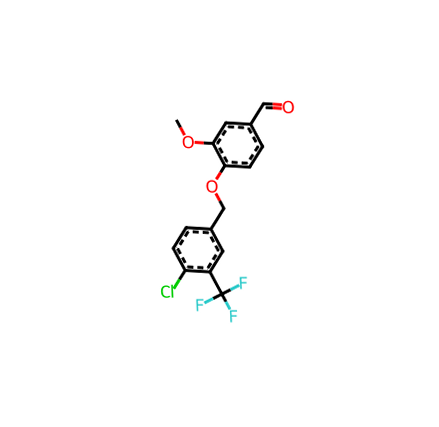 COc1cc(C=O)ccc1OCc1ccc(Cl)c(C(F)(F)F)c1